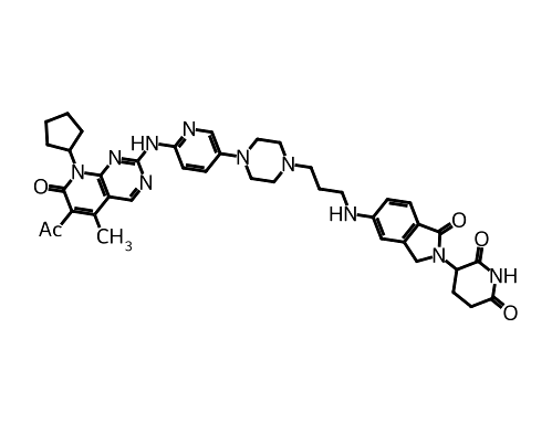 CC(=O)c1c(C)c2cnc(Nc3ccc(N4CCN(CCCNc5ccc6c(c5)CN(C5CCC(=O)NC5=O)C6=O)CC4)cn3)nc2n(C2CCCC2)c1=O